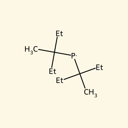 CCC(C)(CC)[P]C(C)(CC)CC